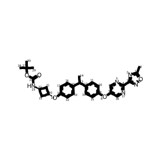 Cc1nc(-c2ncc(Oc3ccc(C(C)c4ccc(O[C@H]5C[C@H](NC(=O)OC(C)(C)C)C5)cc4)cc3)cn2)no1